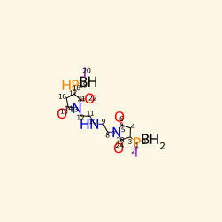 BP(I)C1CC(=O)N(CCNCCN2C(=O)CC(PBI)C2=O)C1=O